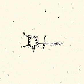 Cc1nc(C(C)(C)C#N)sc1C